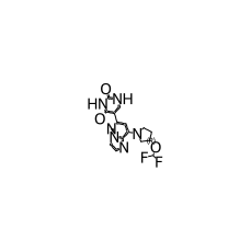 O=c1[nH]cc(-c2cc(N3CC[C@@H](OC(F)F)C3)c3nccn3n2)c(=O)[nH]1